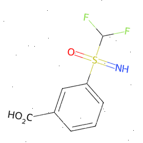 N=S(=O)(c1cccc(C(=O)O)c1)C(F)F